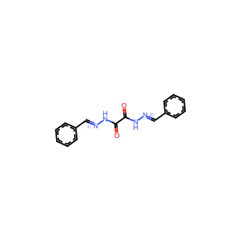 O=C(N/N=C/c1ccccc1)C(=O)N/N=C/c1ccccc1